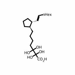 CCCCCCC=C[C@H]1CCC[C@@H]1CCCCC(O)(O)C(O)(O)C(=O)O